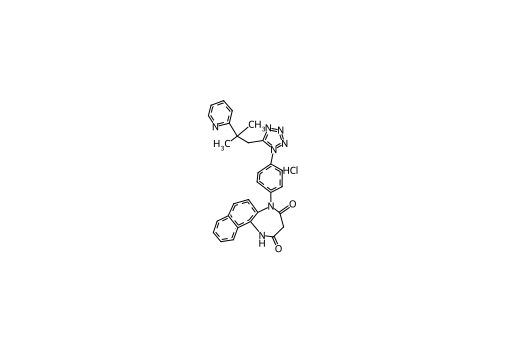 CC(C)(Cc1nnnn1-c1ccc(N2C(=O)CC(=O)Nc3c2ccc2ccccc32)cc1)c1ccccn1.Cl